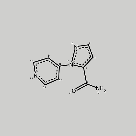 NC(=O)c1ccnn1-c1ccncc1